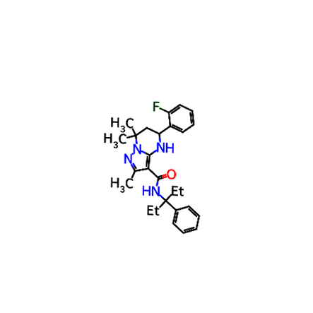 CCC(CC)(NC(=O)c1c(C)nn2c1NC(c1ccccc1F)CC2(C)C)c1ccccc1